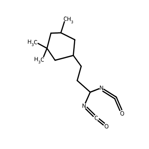 CC1CC(CCC(N=C=O)N=C=O)CC(C)(C)C1